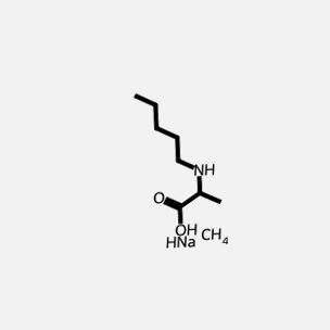 C.CCCCCNC(C)C(=O)O.[NaH]